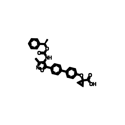 Cc1noc(-c2ccc(-c3ccc(OC4(C(=O)O)CC4)cc3)cc2)c1NC(=O)O[C@H](C)c1ccccc1